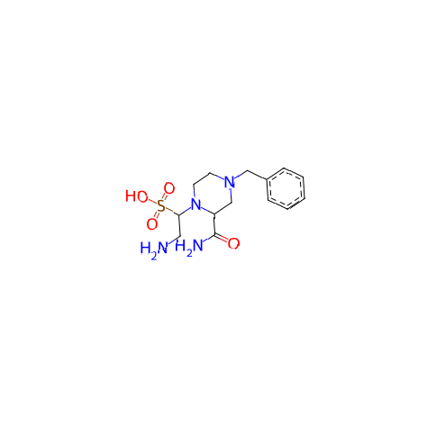 NCC(N1CCN(Cc2ccccc2)CC1C(N)=O)S(=O)(=O)O